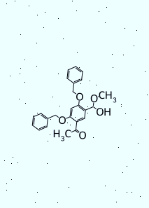 COC(O)c1cc(C(C)=O)c(OCc2ccccc2)cc1OCc1ccccc1